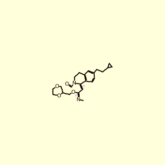 C/N=C(\C=C1\c2ccc(CCC3CC3)cc2CCN1C=O)OCC1COCCO1